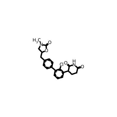 CN1CC(Cc2ccc(-c3cccc(C4CCC(=O)NC4=O)c3Cl)cc2)OC1=O